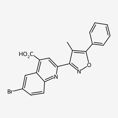 Cc1c(-c2cc(C(=O)O)c3cc(Br)ccc3n2)noc1-c1ccccc1